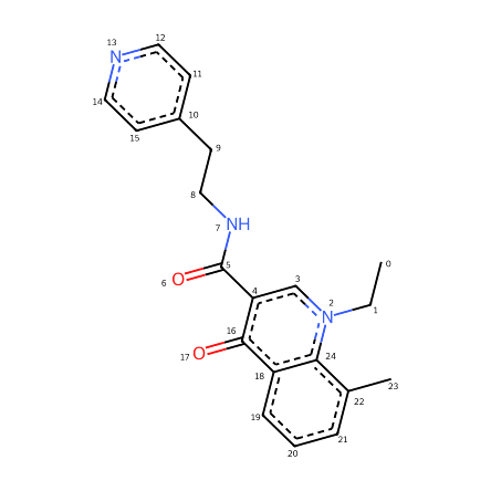 CCn1cc(C(=O)NCCc2ccncc2)c(=O)c2cccc(C)c21